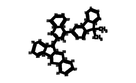 CC1(C)c2ccccc2-c2cc(-c3nc(-n4c5ccccc5c5cc6ccccc6cc54)nc4ccccc34)ccc21